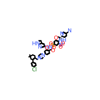 CC1(C)CCC(CN2CCN(c3ccc(C(=O)NS(=O)(=O)c4cc5c(c([N+](=O)[O-])c4)N[C@@H](c4ccc(C#N)cn4)CO5)c(Oc4cnc5[nH]ccc5c4)c3)CC2)=C(c2ccc(Cl)cc2)C1